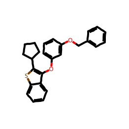 c1ccc(COc2cccc(Oc3c(C4CCCC4)sc4ccccc34)c2)cc1